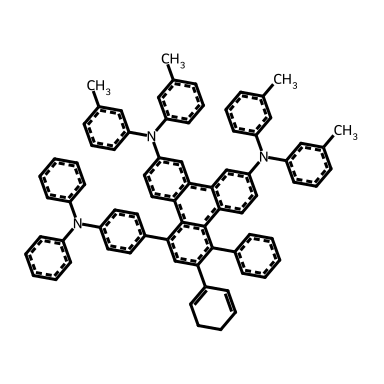 Cc1cccc(N(c2cccc(C)c2)c2ccc3c(c2)c2cc(N(c4cccc(C)c4)c4cccc(C)c4)ccc2c2c(-c4ccccc4)c(C4=CCCC=C4)cc(-c4ccc(N(c5ccccc5)c5ccccc5)cc4)c32)c1